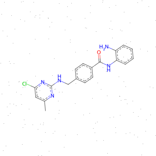 Cc1cc(Cl)nc(NCc2ccc(C(=O)Nc3ccccc3N)cc2)n1